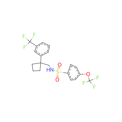 O=S(=O)(NCC1(c2cccc(C(F)(F)F)c2)CCC1)c1ccc(OC(F)(F)F)cc1